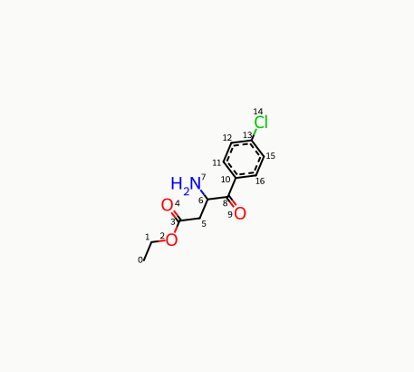 CCOC(=O)CC(N)C(=O)c1ccc(Cl)cc1